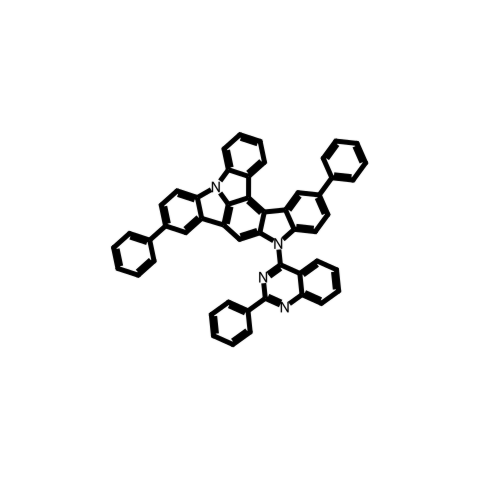 c1ccc(-c2ccc3c(c2)c2c4c5ccccc5n5c6ccc(-c7ccccc7)cc6c(cc2n3-c2nc(-c3ccccc3)nc3ccccc23)c45)cc1